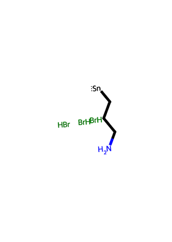 Br.Br.Br.NCC[CH2][Sn]